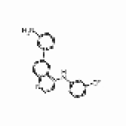 Nc1cccc(-c2ccc3nccc(Nc4cccc(C(F)(F)F)c4)c3c2)c1